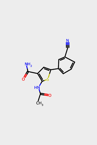 CC(=O)Nc1sc(-c2cccc(C#N)c2)cc1C(N)=O